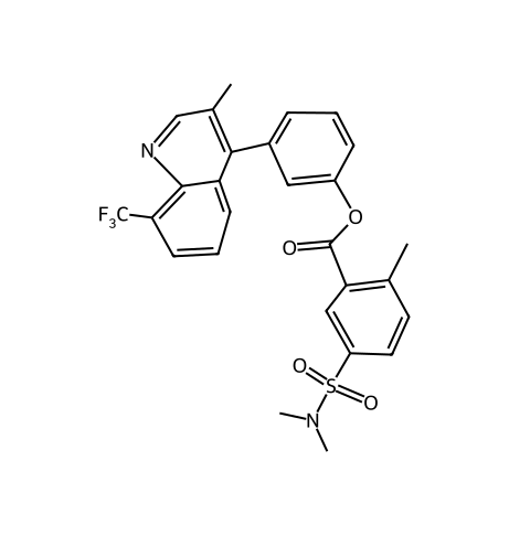 Cc1ccc(S(=O)(=O)N(C)C)cc1C(=O)Oc1cccc(-c2c(C)cnc3c(C(F)(F)F)cccc23)c1